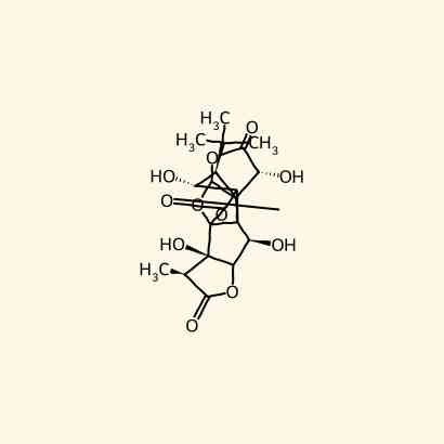 C[C@@H]1C(=O)OC2[C@H](O)C34C5OC(=O)C3(OC3OC(=O)[C@H](O)C34[C@H](C(C)(C)C)[C@H]5O)[C@]21O